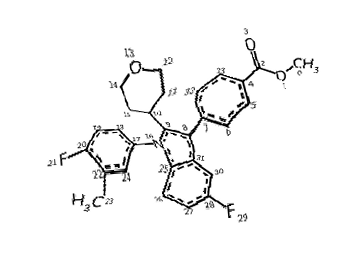 COC(=O)c1ccc(-c2c(C3CCOCC3)n(-c3ccc(F)c(C)c3)c3ccc(F)cc23)cc1